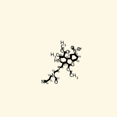 CCOC(=O)C1=C(CSCCN(C=O)CCC#N)NC(C)=C(C(=O)OC)C1c1cccc([N+](=O)[O-])c1